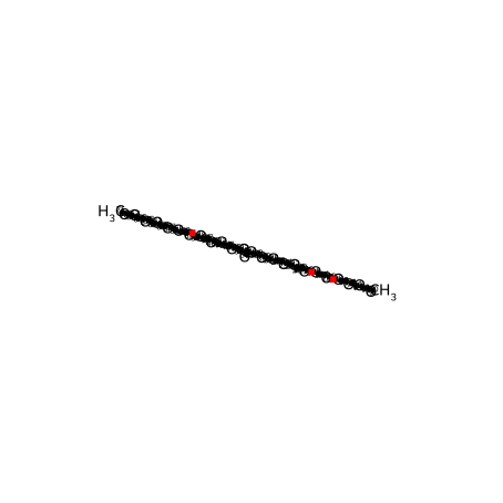 COCCOCCOCCOCCOCCOCCOCCOCCOCCOCCOCCOC(=O)OCCOCCOCCOCCOCCOCCOCCOCCOCCOCCOCCOC